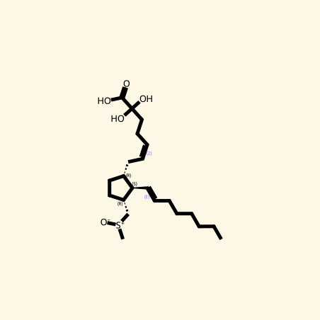 CCCCCC/C=C/[C@@H]1[C@@H](C/C=C\CCC(O)(O)C(=O)O)CC[C@H]1C[S+](C)[O-]